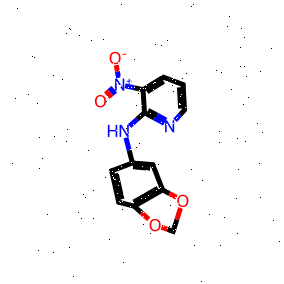 O=[N+]([O-])c1cccnc1Nc1ccc2c(c1)OCO2